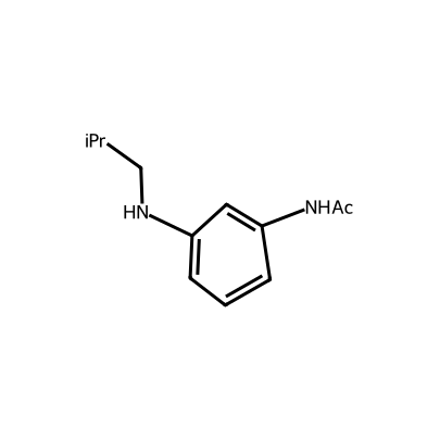 CC(=O)Nc1cccc(NCC(C)C)c1